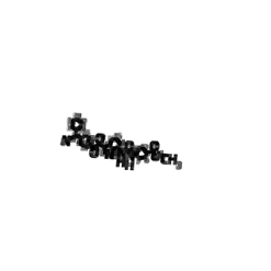 CCOC(=O)c1ccc(NC(=O)Nc2cccc3c(C(=O)C(=O)N4CCC(=C(C#N)c5ccccc5)CC4)c[nH]c23)cc1